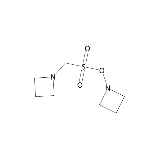 O=S(=O)(CN1CCC1)ON1CCC1